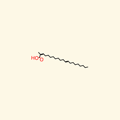 CCCCCCCCC=CCCCCCCCCC=C(C)C(=O)O